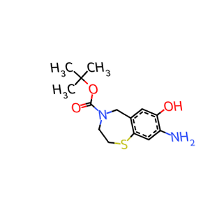 CC(C)(C)OC(=O)N1CCSc2cc(N)c(O)cc2C1